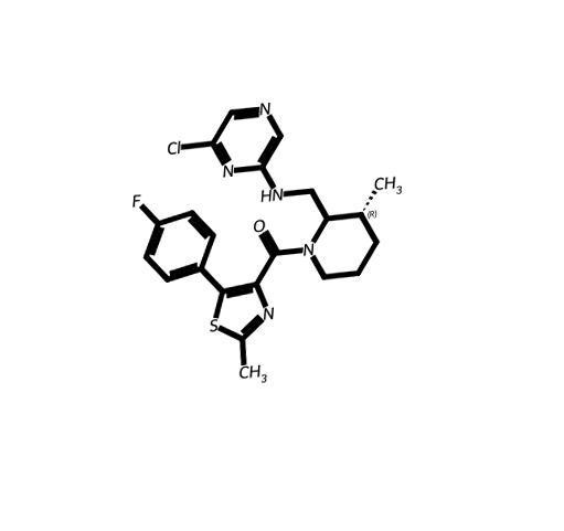 Cc1nc(C(=O)N2CCC[C@@H](C)C2CNc2cncc(Cl)n2)c(-c2ccc(F)cc2)s1